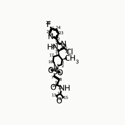 C[C@H]1CN(S(=O)(=O)C=CC(=O)NC2COC2)CC[C@H]1c1[nH]c(-c2ccc(F)cn2)nc1Cl